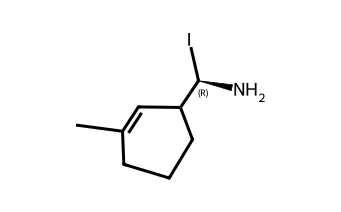 CC1=CC([C@H](N)I)CCC1